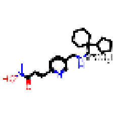 O=C(C=Cc1ccc(CN[C@H](C(=O)O)C2(C3CCCC3)CCCCC2)cn1)NO